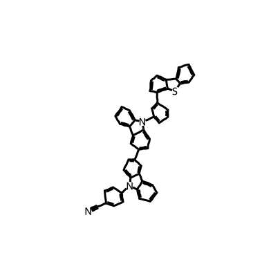 N#Cc1ccc(-n2c3ccccc3c3cc(-c4ccc5c(c4)c4ccccc4n5-c4cccc(-c5cccc6c5sc5ccccc56)c4)ccc32)cc1